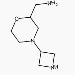 NCC1CN(C2CNC2)CCO1